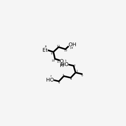 CC(CO)CCCO.CCC(CO)CCO